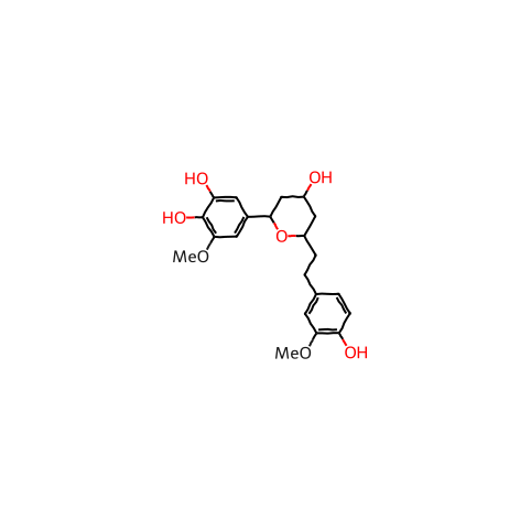 COc1cc(CCC2CC(O)CC(c3cc(O)c(O)c(OC)c3)O2)ccc1O